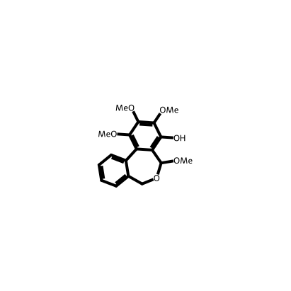 COc1c(O)c2c(c(OC)c1OC)-c1ccccc1COC2OC